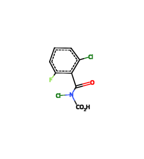 O=C(O)N(Cl)C(=O)c1c(F)cccc1Cl